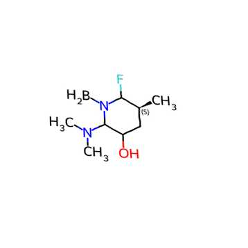 BN1C(F)[C@@H](C)CC(O)C1N(C)C